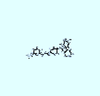 CC1(C)C=CC(C(=O)Nc2ccc(OCCc3cccc(N)n3)cc2)(c2ccccc2)C=C1